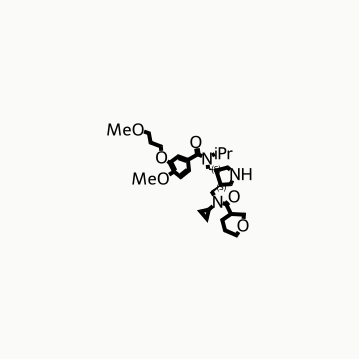 COCCCOc1cc(C(=O)N(C[C@@H]2CNC[C@H]2CN(C(=O)C2CCCOC2)C2CC2)C(C)C)ccc1OC